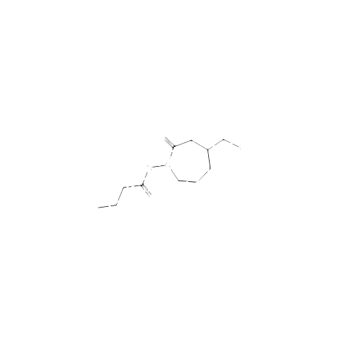 CCCC(=O)NN1CCCC(CI)CC1=O